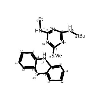 CCNc1nc(NC(C)(C)C)nc(SC)n1.c1ccc2c(c1)Nc1ccccc1S2